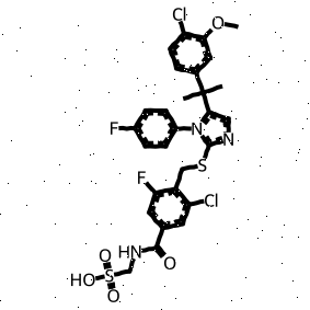 COc1cc(C(C)(C)c2cnc(SCc3c(F)cc(C(=O)NCS(=O)(=O)O)cc3Cl)n2-c2ccc(F)cc2)ccc1Cl